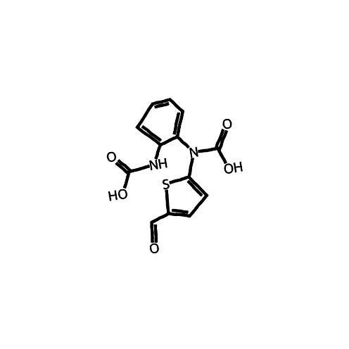 O=Cc1ccc(N(C(=O)O)c2ccccc2NC(=O)O)s1